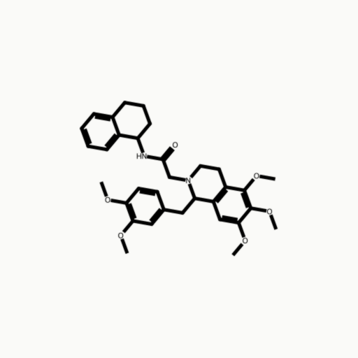 COc1ccc(CC2c3cc(OC)c(OC)c(OC)c3CCN2CC(=O)NC2CCCc3ccccc32)cc1OC